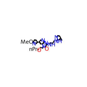 CCCOCCn1c(=O)c(NCCCNC2=NC=CC3CC23)nc2ncc(-c3ccc(OC)nc3)cc21